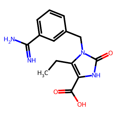 CCc1c(C(=O)O)[nH]c(=O)n1Cc1cccc(C(=N)N)c1